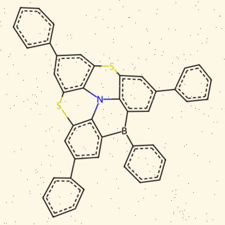 c1ccc(B2c3cc(-c4ccccc4)cc4c3N3c5c(cc(-c6ccccc6)cc5Sc5cc(-c6ccccc6)cc2c53)S4)cc1